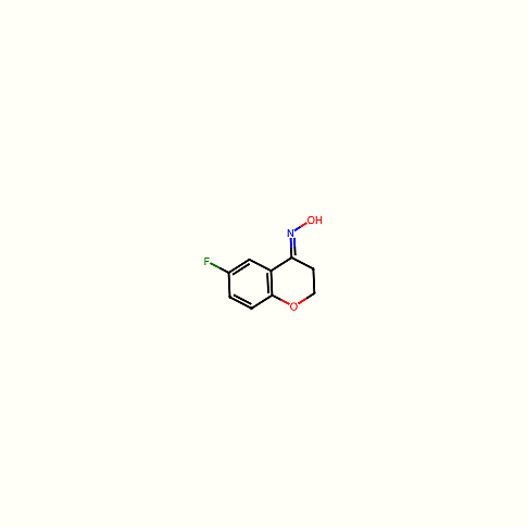 O/N=C1\CCOc2ccc(F)cc21